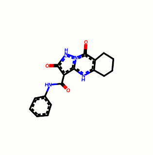 O=C(Nc1ccccc1)c1c(=O)[nH]n2c(=O)c3c([nH]c12)CCCC3